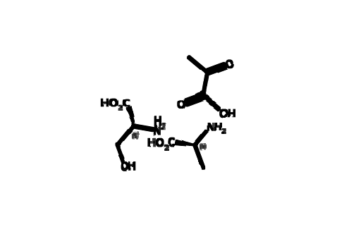 CC(=O)C(=O)O.C[C@H](N)C(=O)O.N[C@@H](CO)C(=O)O